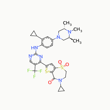 C[C@H]1CN(c2ccc(Nc3ncc(C(F)(F)F)c(-c4cc5c(s4)C(=O)N(C4CC4)CCS5(=O)=O)n3)c(C3CC3)c2)C[C@H](C)N1C